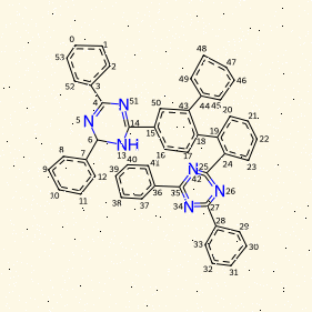 c1ccc(C2=NC(c3ccccc3)NC(c3ccc(-c4ccccc4-c4nc(-c5ccccc5)nc(-c5ccccc5)n4)c(-c4ccccc4)c3)=N2)cc1